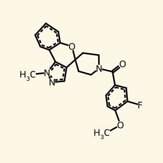 COc1ccc(C(=O)N2CCC3(CC2)Oc2ccccc2-c2c3cnn2C)cc1F